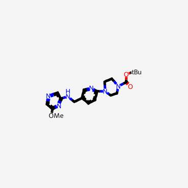 COc1cncc(NCc2ccc(N3CCN(C(=O)OC(C)(C)C)CC3)nc2)n1